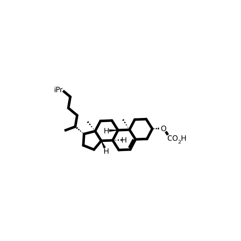 CC(C)CCCC(C)[C@H]1CC[C@H]2[C@@H]3CC=C4C[C@@H](OC(=O)O)CC[C@]4(C)[C@H]3CC[C@]12C